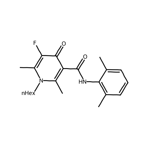 CCCCCCn1c(C)c(F)c(=O)c(C(=O)Nc2c(C)cccc2C)c1C